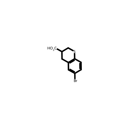 O=C(O)C1CSc2ccc(Br)cc2C1